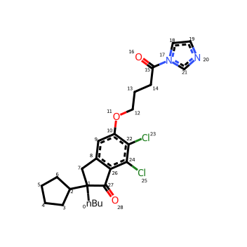 CCCCC1(C2CCCC2)Cc2cc(OCCCC(=O)n3ccnc3)c(Cl)c(Cl)c2C1=O